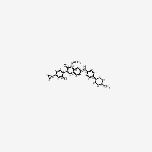 CCn1c(=O)c(-c2ccc(C3CC3)cc2Cl)cc2cnc(Nc3ccc(N4CCN(C)CC4)cc3)nc21